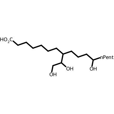 CCCCCC(O)CCCC(CCCCCCC(=O)O)C(O)CO